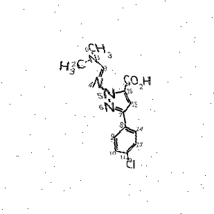 CN(C)C=Nn1nc(-c2ccc(Cl)cc2)cc1C(=O)O